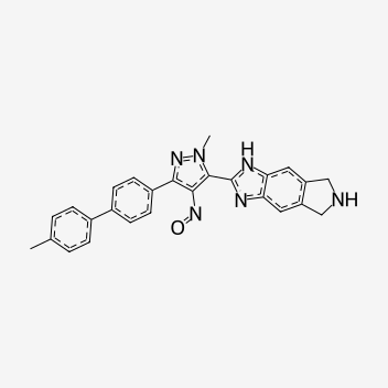 Cc1ccc(-c2ccc(-c3nn(C)c(-c4nc5cc6c(cc5[nH]4)CNC6)c3N=O)cc2)cc1